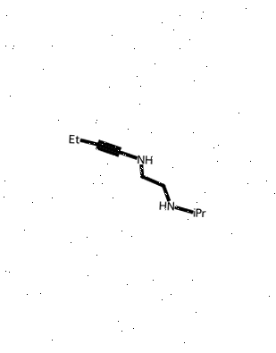 CCC#CNCCNC(C)C